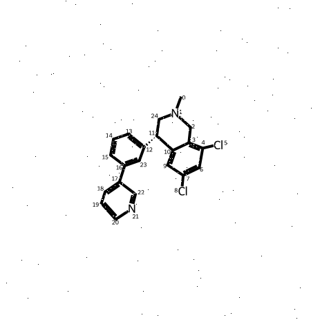 CN1Cc2c(Cl)cc(Cl)cc2[C@H](c2cccc(-c3cccnc3)c2)C1